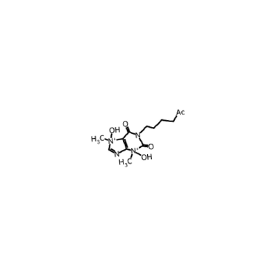 CC(=O)CCCCN1C(=O)C2=C(N=C[N+]2(C)O)[N+](C)(O)C1=O